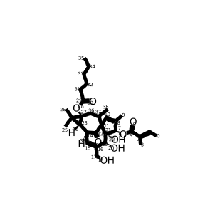 C/C=C(\C)C(=O)O[C@H]1C(C)=CC23C(=O)[C@@H](C=C(CO)[C@@H](O)[C@]12O)[C@@H]1C(C)(C)[C@]1(OC(=O)CCCCC)CC3C